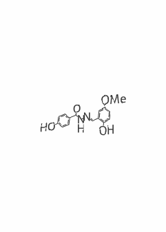 COc1ccc(O)c(C=NNC(=O)c2ccc(O)cc2)c1